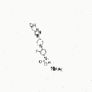 CC(=O)NC[C@H]1CN(c2ccc(N3CCC(n4cc(CO)nn4)CC3)c(F)c2)C(=O)O1